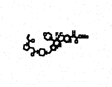 C=CC(=O)N1CCCC1CC(=O)N1CCN(Cc2cc3c(N4CCOCC4)nc(-c4cnc(NC(=O)OC)cc4C(F)(F)F)nn3c2)CC1